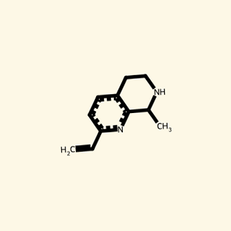 C=Cc1ccc2c(n1)C(C)NCC2